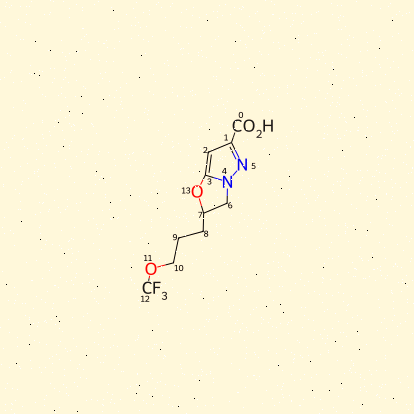 O=C(O)c1cc2n(n1)CC(CCCOC(F)(F)F)O2